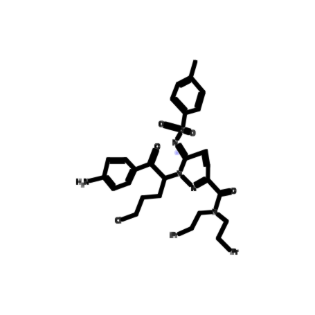 Cc1ccc(S(=O)(=O)/N=c2\ccc(C(=O)N(CCC(C)C)CCC(C)C)nn2C(CCCCl)C(=O)c2ccc(N)cc2)cc1